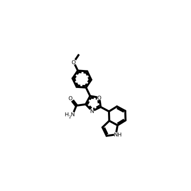 COc1ccc(-c2oc(C3C=CC=C4NC=CC43)nc2C(N)=O)cc1